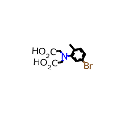 Cc1ccc(Br)cc1N(CC(=O)O)CC(=O)O